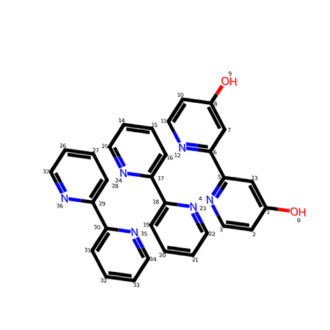 Oc1ccnc(-c2cc(O)ccn2)c1.c1ccc(-c2ccccn2)nc1.c1ccc(-c2ccccn2)nc1